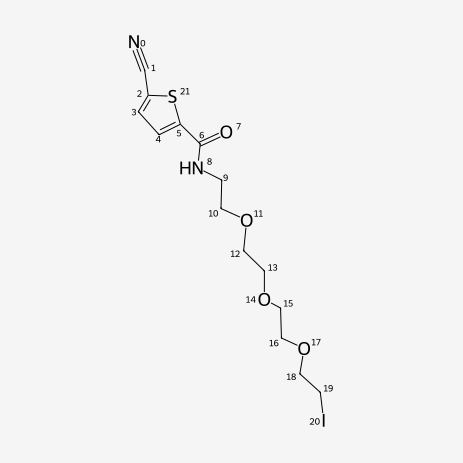 N#Cc1ccc(C(=O)NCCOCCOCCOCCI)s1